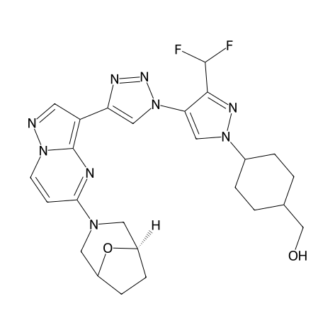 OCC1CCC(n2cc(-n3cc(-c4cnn5ccc(N6CC7CC[C@H](C6)O7)nc45)nn3)c(C(F)F)n2)CC1